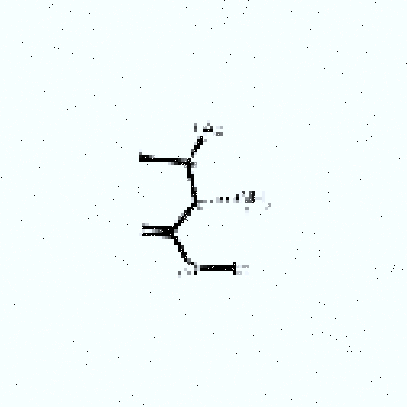 C=C(OCC)[C@@H](N)[C@@H](C)C(C)=O